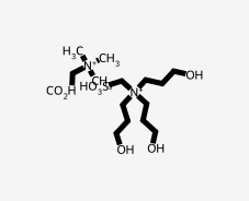 C[N+](C)(C)CC(=O)O.O=S(=O)(O)C[N+](CCCO)(CCCO)CCCO